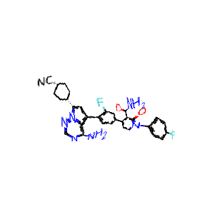 N#C[C@H]1CC[C@@H](c2cc(-c3ccc(-c4ccn(-c5ccc(F)cc5)c(=O)c4C(N)=O)cc3F)c3c(N)ncnn32)CC1